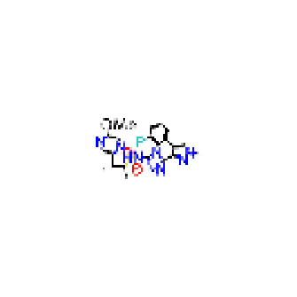 COc1cnc([C@@H](C)[C@H](C)S(=O)(=O)Nc2nnc3c4nn(C)cc4c4cccc(F)c4n23)cn1